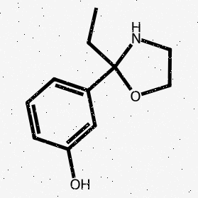 CCC1(c2cccc(O)c2)NCCO1